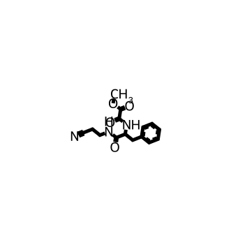 COC(=O)C(=O)NC(Cc1ccccc1)C(=O)NCCC#N